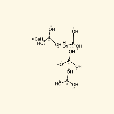 OB(O)O.OB(O)O.OB(O)O.OB(O)O.[GaH3]